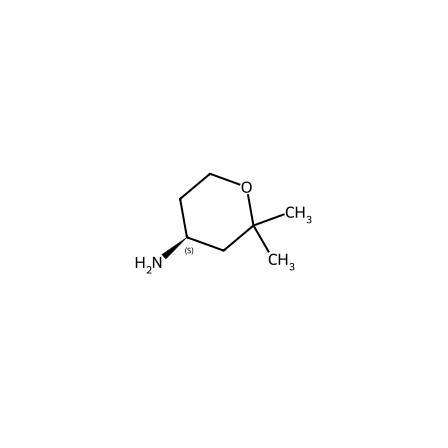 CC1(C)C[C@@H](N)CCO1